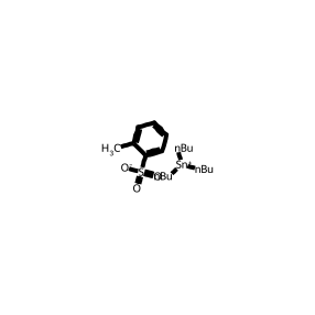 CCC[CH2][Sn+]([CH2]CCC)[CH2]CCC.Cc1ccccc1S(=O)(=O)[O-]